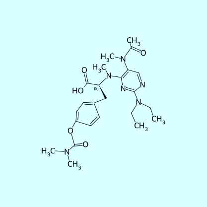 CCN(CC)c1ncc(N(C)C(C)=O)c(N(C)[C@@H](Cc2ccc(OC(=O)N(C)C)cc2)C(=O)O)n1